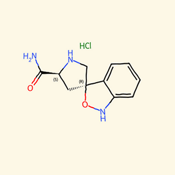 Cl.NC(=O)[C@@H]1C[C@@]2(CN1)ONc1ccccc12